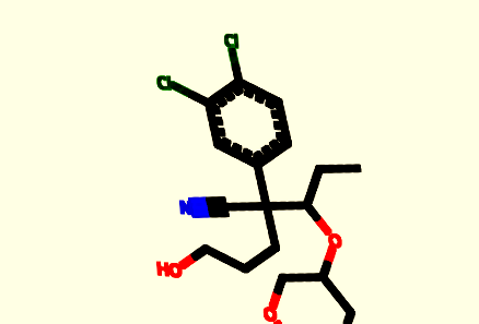 CCC(OC1CCCOC1)C(C#N)(CCCO)c1ccc(Cl)c(Cl)c1